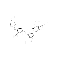 CCNc1ncc2c(n1)N(CC)C(=O)N(c1cc(NC(=O)c3ccc(CN4CCN(CC)CC4)c(C(F)(F)F)c3)cc(OC)c1)C2